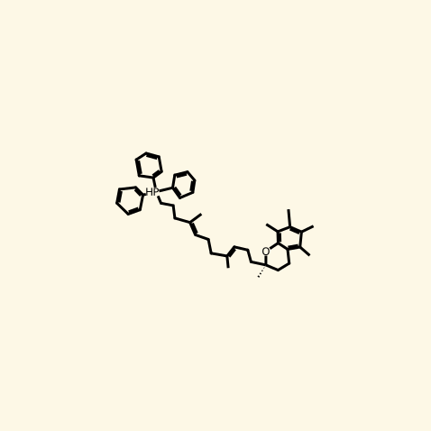 C/C(=C\CC[C@]1(C)CCc2c(C)c(C)c(C)c(C)c2O1)CC/C=C(\C)CCC[PH](c1ccccc1)(c1ccccc1)c1ccccc1